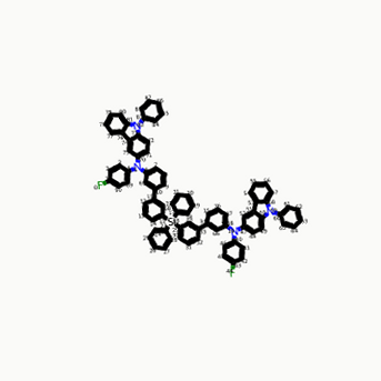 Fc1ccc(N(c2cccc(-c3cccc([Si](c4ccccc4)(c4ccccc4)c4cccc(-c5cccc(N(c6ccc(F)cc6)c6ccc7c(c6)c6ccccc6n7-c6ccccc6)c5)c4)c3)c2)c2ccc3c(c2)c2ccccc2n3-c2ccccc2)cc1